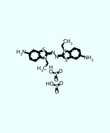 CCn1c(=NN=c2sc3cc(N)ccc3n2CC)sc2cc(N)ccc21.O=[SH](=O)O.O=[SH](=O)O